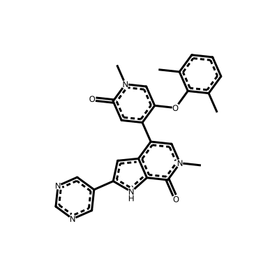 Cc1cccc(C)c1Oc1cn(C)c(=O)cc1-c1cn(C)c(=O)c2[nH]c(-c3cncnc3)cc12